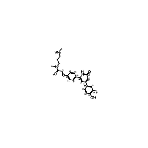 CNCCCN(C)C(=O)COc1ccc(-c2cc(-c3ccc(O)c(C)c3)nc(=O)[nH]2)cc1